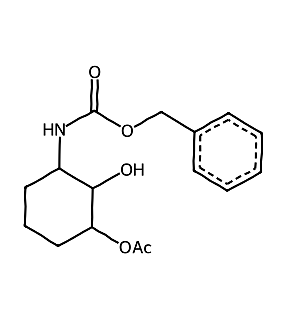 CC(=O)OC1CCCC(NC(=O)OCc2ccccc2)C1O